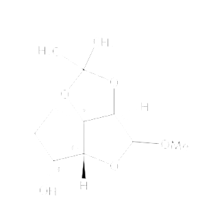 COC1O[C@@H]2[C@H](O)CC[C@@]23OC(C)(C)O[C@@H]13